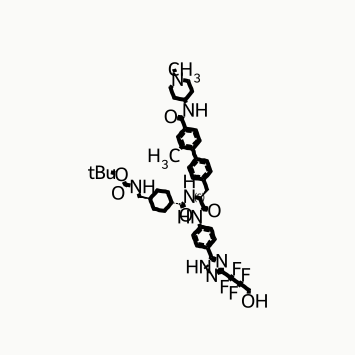 Cc1cc(C(=O)NC2CCN(C)CC2)ccc1-c1ccc(C[C@H](NC(=O)[C@H]2CC[C@H](CNC(=O)OC(C)(C)C)CC2)C(=O)Nc2ccc(-c3nc(C(F)(F)C(F)(F)CO)n[nH]3)cc2)cc1